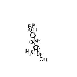 Cc1cc(C(=O)Nc2ccc(OC(F)(F)Cl)cc2)cnc1N1CC(O)C1